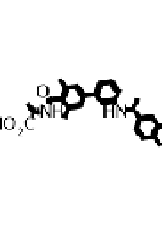 Cc1ccc(C(C)Nc2cccc(-c3cc(C)c(C(=O)N[C@@H](C)C(=O)O)c(C)c3)c2)cc1C